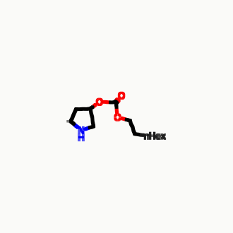 CCCCCCCCOC(=O)OC1C[CH]NC1